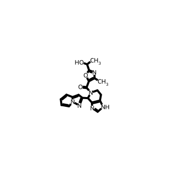 Cc1nc(C(C)O)oc1C(=O)N1CCc2[nH]cnc2C1c1cc2ccccn2n1